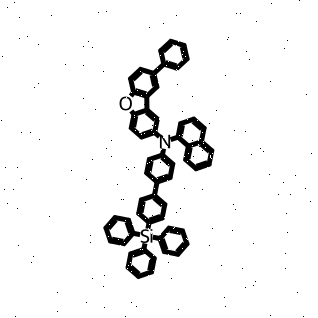 c1ccc(-c2ccc3oc4ccc(N(c5ccc(-c6ccc([Si](c7ccccc7)(c7ccccc7)c7ccccc7)cc6)cc5)c5cccc6ccccc56)cc4c3c2)cc1